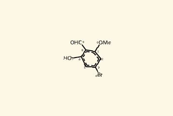 COc1cc(Br)cc(O)c1C=O